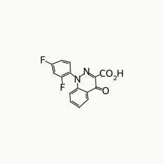 O=C(O)c1nn(-c2ccc(F)cc2F)c2ccccc2c1=O